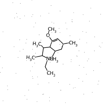 CCNC(C)C(C)C1C(OC)=CC(C)CC1C